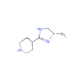 CC1CNC(C2CCNCC2)=N1